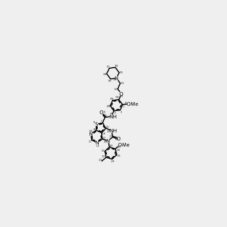 COc1cc(NC(=O)c2sc3ncnc4c3c2NC(=O)N4c2cc(C)ccc2OC)ccc1OCCN1CCCCC1